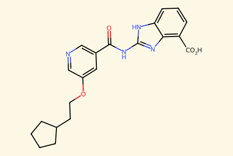 O=C(Nc1nc2c(C(=O)O)cccc2[nH]1)c1cncc(OCCC2CCCC2)c1